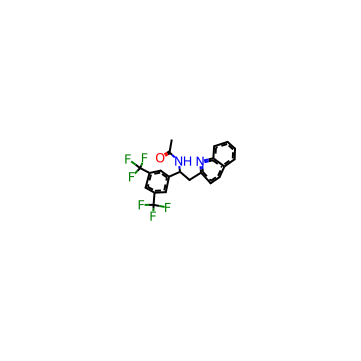 CC(=O)NC(Cc1ccc2ccccc2n1)c1cc(C(F)(F)F)cc(C(F)(F)F)c1